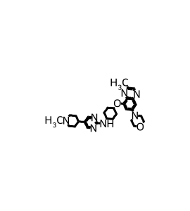 Cc1cnc2cc(N3CCOCC3)cc(O[C@H]3CC[C@@H](Nc4ncc(C5CCN(C)CC5)cn4)CC3)c2n1